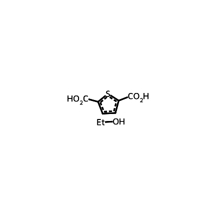 CCO.O=C(O)c1ccc(C(=O)O)s1